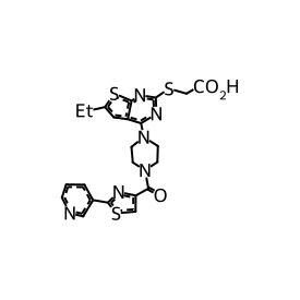 CCc1cc2c(N3CCN(C(=O)c4csc(-c5cccnc5)n4)CC3)nc(SCC(=O)O)nc2s1